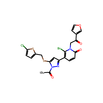 CC(C)(C)C(=O)n1nc(-c2ccc(=O)n(CC(=O)c3ccoc3)c2Br)cc1SCc1ccc(Cl)s1